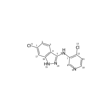 Clc1ccc2c(Nc3cnccc3Cl)n[nH]c2c1